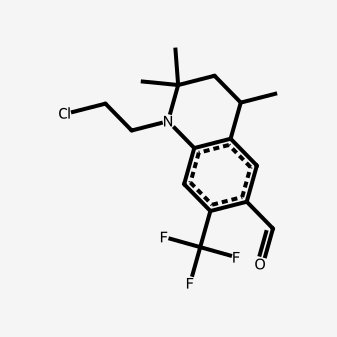 CC1CC(C)(C)N(CCCl)c2cc(C(F)(F)F)c(C=O)cc21